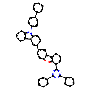 c1ccc(-c2ccc(-n3c4ccccc4c4cc(-c5ccc6oc7c(-c8nc(-c9ccccc9)nc(-c9ccccc9)n8)cccc7c6c5)ccc43)cc2)cc1